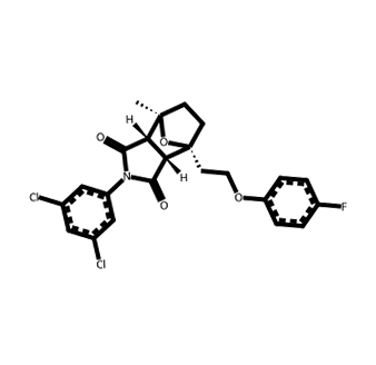 C[C@]12CC[C@](CCOc3ccc(F)cc3)(O1)[C@@H]1C(=O)N(c3cc(Cl)cc(Cl)c3)C(=O)[C@@H]12